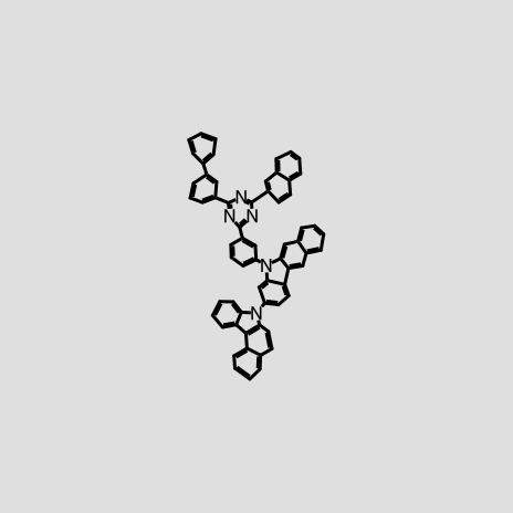 c1ccc(-c2cccc(-c3nc(-c4cccc(-n5c6cc(-n7c8ccccc8c8c9ccccc9ccc87)ccc6c6cc7ccccc7cc65)c4)nc(-c4ccc5ccccc5c4)n3)c2)cc1